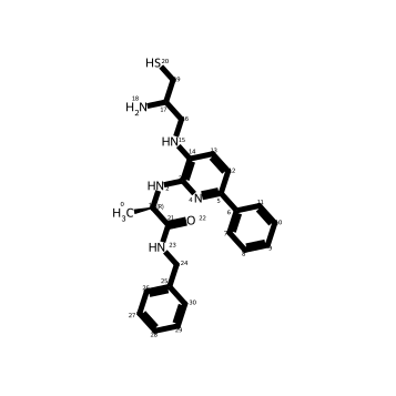 C[C@@H](Nc1nc(-c2ccccc2)ccc1NCC(N)CS)C(=O)NCc1ccccc1